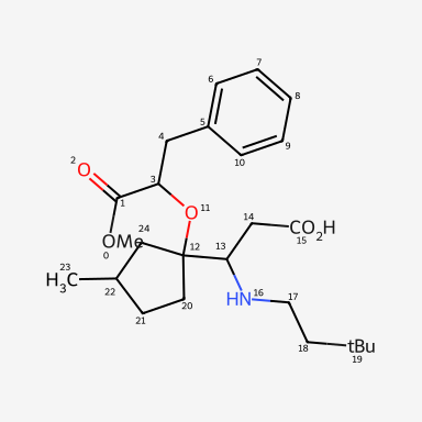 COC(=O)C(Cc1ccccc1)OC1(C(CC(=O)O)NCCC(C)(C)C)CCC(C)C1